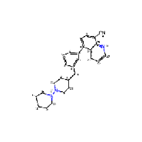 N#Cc1ccc(-c2cccc(CC3CCN(N4CCCCC4)CC3)c2)c2cccnc12